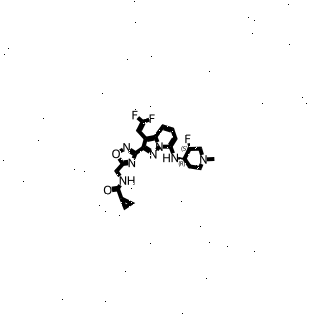 CN1CC[C@@H](Nc2cccc3c(C=C(F)F)c(-c4noc(CNC(=O)C5CC5)n4)nn23)[C@@H](F)C1